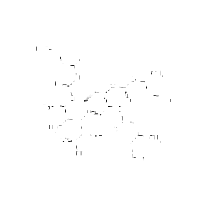 CCCC(C)OC(=O)OC(C)C(C)C(c1ccc(OC(=O)OC(C)CC)c(OC(=O)OC(C)CC)c1)[C@H](N)C(=O)O